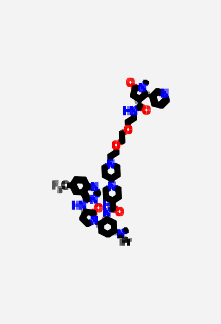 CC(C)N(C)[C@@H]1CC[C@H](N2CC[C@H](Nc3ncnc4ccc(C(F)(F)F)cc34)C2=O)[C@H](NC(=O)C2CCN(C3CCN(CCOCCOCCNC(=O)[C@H]4CC(=O)N(C)[C@@H]4c4cccnc4)CC3)CC2)C1